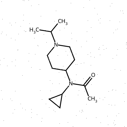 CC(=O)N(C1CC1)C1CCN(C(C)C)CC1